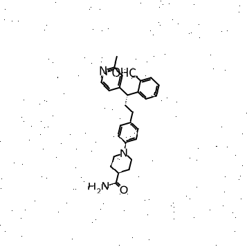 Cc1cc([C@@H](CCc2ccc(N3CCC(C(N)=O)CC3)cc2)c2ccccc2C=O)ccn1